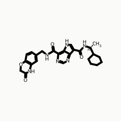 C[C@@H](NC(=O)c1c[nH]c2c(C(=O)NCc3ccc4c(c3)NC(=O)CO4)ncnc12)C1CCCCC1